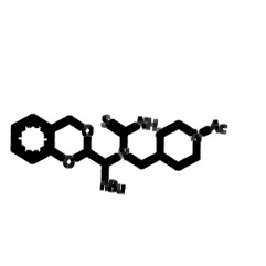 CCCCC(C1OCc2ccccc2O1)N(CC1CCN(C(C)=O)CC1)C(N)=S